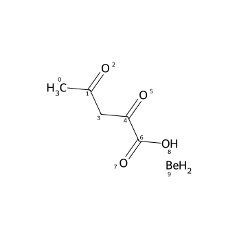 CC(=O)CC(=O)C(=O)O.[BeH2]